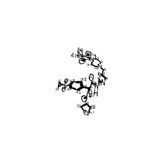 C[C@H]1CN(Cc2cnc(NC(=O)/C(=N/O[C@@H]3CCOC3)c3ccc(S(=O)(=O)C4CC4)cc3)s2)CCN1S(=O)(=O)N(C)C